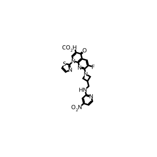 O=C(O)c1cn(-c2nccs2)c2nc(N3CC(CNc4cc([N+](=O)[O-])ccn4)C3)c(F)cc2c1=O